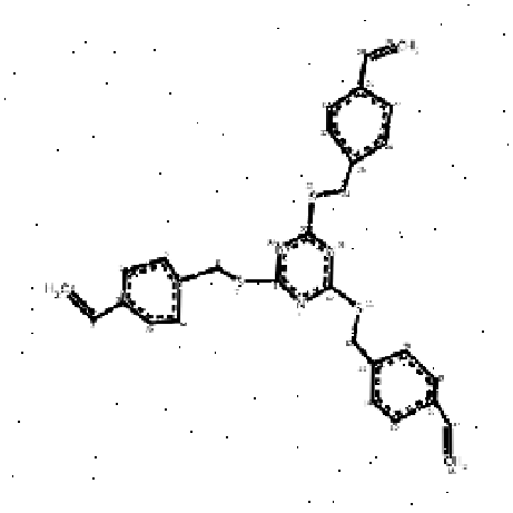 C=Cc1ccc(CSc2nc(SCc3ccc(C=C)cc3)nc(SCc3ccc(C=C)cc3)n2)cc1